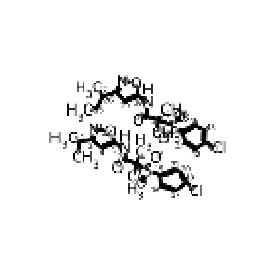 CC(C)c1cc(NC(=O)C(C)(C)S(=O)(=O)c2ccc(Cl)cc2)on1.CCC(C)c1cc(NC(=O)C(C)(C)S(=O)(=O)c2ccc(Cl)cc2)on1